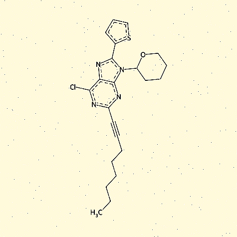 CCCCCCC#Cc1nc(Cl)c2nc(-c3cccs3)n(C3CCCCO3)c2n1